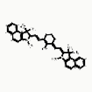 CN1/C(=C\C=C2/CCCC(/C=C/C3N(C)c4ccc5ccccc5c4C3(C)C)=C2Cl)C(C)(C)c2c1ccc1ccccc21